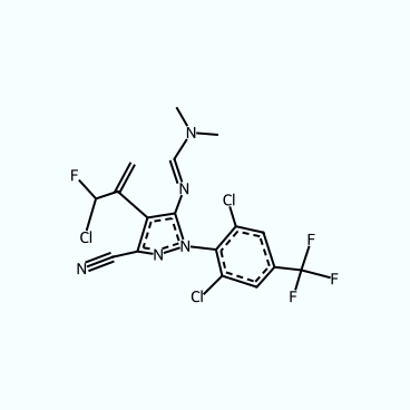 C=C(c1c(C#N)nn(-c2c(Cl)cc(C(F)(F)F)cc2Cl)c1N=CN(C)C)C(F)Cl